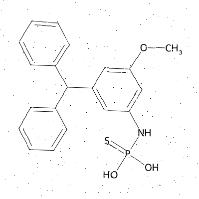 COc1cc(NP(O)(O)=S)cc(C(c2ccccc2)c2ccccc2)c1